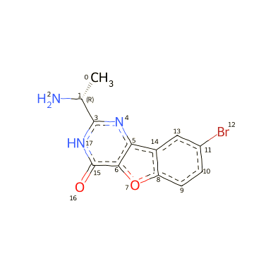 C[C@@H](N)c1nc2c(oc3ccc(Br)cc32)c(=O)[nH]1